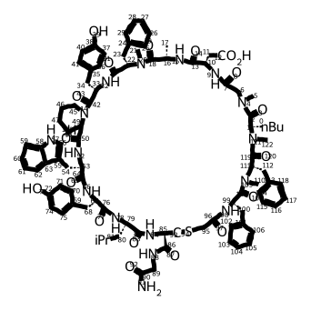 CCCC[C@H]1C(=O)N(C)CC(=O)N[C@@H](CC(=O)O)C(=O)N[C@@H](C)C(=O)N(C)[C@@H](Cc2ccccc2)C(=O)N[C@@H](Cc2ccc(O)cc2)C(=O)N2CCCC[C@@H]2C(=O)N[C@@H](Cc2c[nH]c3ccccc23)C(=O)N[C@@H](Cc2ccc(O)cc2)C(=O)N[C@@H](CC(C)C)C(=O)N[C@H](C(=O)NCC(N)=O)CSCC(=O)N[C@@H](Cc2ccccc2)C(=O)N(C)[C@@H](Cc2ccccc2)C(=O)N1C